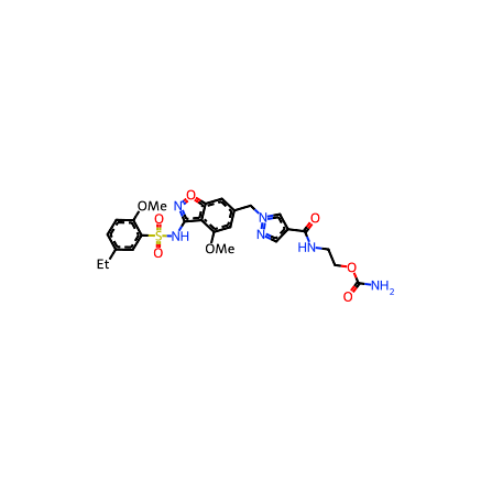 CCc1ccc(OC)c(S(=O)(=O)Nc2noc3cc(Cn4cc(C(=O)NCCOC(N)=O)cn4)cc(OC)c23)c1